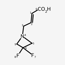 O=C(O)C=CCN1CC(F)(F)C1